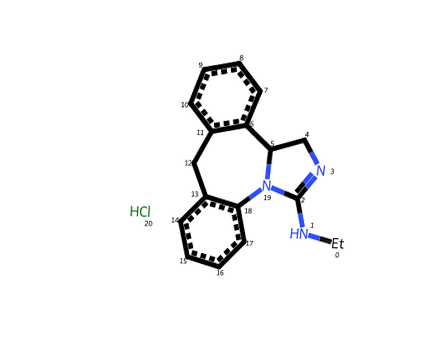 CCNC1=NCC2c3ccccc3Cc3ccccc3N12.Cl